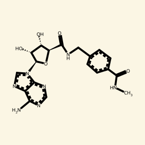 CNC(=O)c1ccc(CNC(=O)[C@H]2O[C@@H](n3cnc4c(N)ncnc43)[C@H](O)[C@@H]2O)cc1